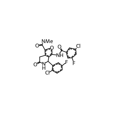 CNC(=O)c1oc(NC(=O)c2cc(F)cc(Cl)c2)c2c1CC(=O)NC2c1cc(F)ccc1Cl